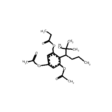 CCCC(c1c(OC(C)=O)cc(OC(C)=O)cc1OC(=O)CC)C(C)(C)C